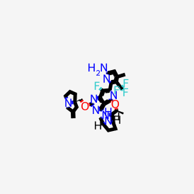 C=C1CN2CCC[C@@]2(COc2nc3c4c(nc(-c5nc(N)cc(C)c5C(F)(F)F)c(F)c4n2)O[C@@H](C)[C@@H]2[C@@H]4CC[C@H](CN32)N4)C1